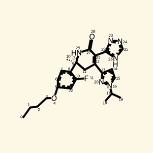 CCCCOc1ccc([C@]2(C)CC(c3ccn(C(C)C)n3)=C(c3nnc[nH]3)C(=O)N2)c(F)c1